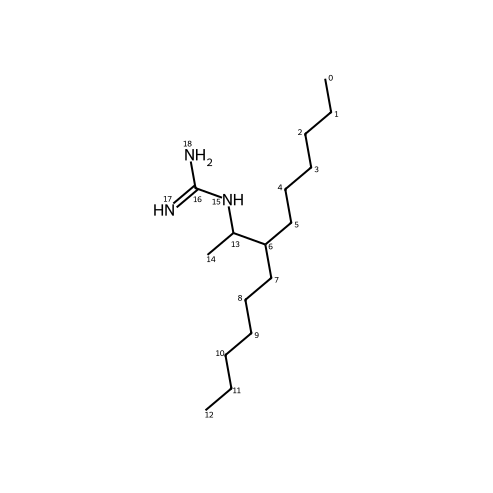 CCCCCCC(CCCCCC)C(C)NC(=N)N